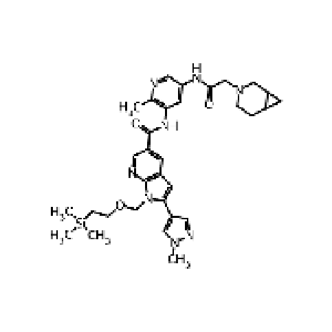 Cc1ncc(NC(=O)CN2CCC3CC3C2)cc1NC(=O)c1cnc2c(c1)cc(-c1cnn(C)c1)n2COCC[Si](C)(C)C